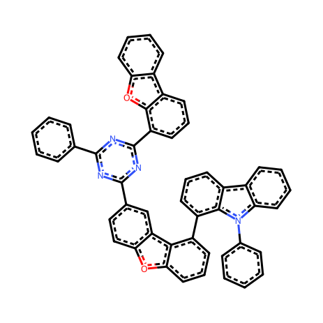 c1ccc(-c2nc(-c3ccc4oc5cccc(-c6cccc7c8ccccc8n(-c8ccccc8)c67)c5c4c3)nc(-c3cccc4c3oc3ccccc34)n2)cc1